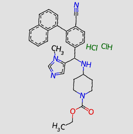 CCOC(=O)N1CCC(NC(c2ccc(C#N)c(-c3cccc4ccccc34)c2)c2cncn2C)CC1.Cl.Cl